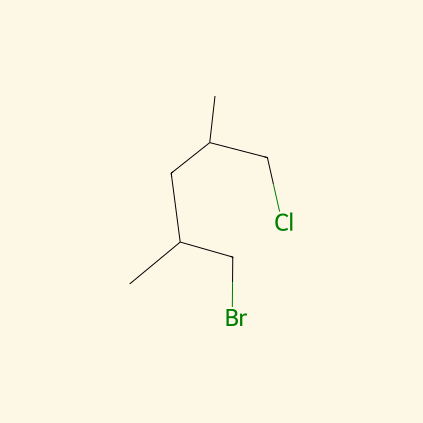 CC(CCl)CC(C)CBr